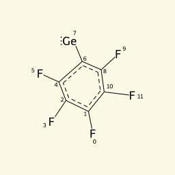 Fc1c(F)c(F)[c]([Ge])c(F)c1F